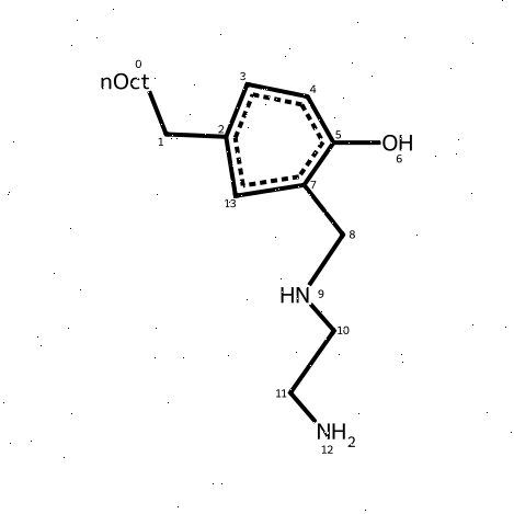 CCCCCCCCCc1ccc(O)c(CNCCN)c1